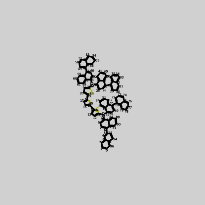 c1ccc2cc(-c3ccc(B(c4ccc(-c5ccc(-c6ccc(B(c7ccc(-c8cccc9ccccc89)c8ccccc78)c7ccc(-c8cccc9ccccc89)c8ccccc78)s6)s5)s4)c4ccc(-c5cccc6ccccc56)c5ccccc45)c4ccccc34)ccc2c1